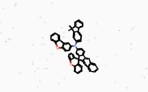 CC1(C)c2ccccc2-c2ccc(N(c3ccc4c(c3)C3(c5ccccc5Oc5ccccc53)c3cc5ccccc5cc3-4)c3ccc4oc5ccccc5c4c3)cc21